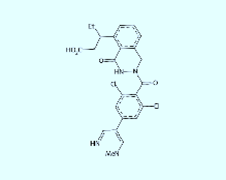 CCC(CC(=O)O)c1cccc2c1C(=O)NN(C(=O)c1c(Cl)cc(/C(C=N)=C/NC)cc1Cl)C2